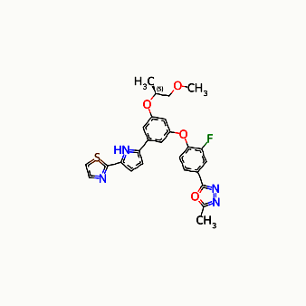 COC[C@H](C)Oc1cc(Oc2ccc(-c3nnc(C)o3)cc2F)cc(-c2ccc(-c3nccs3)[nH]2)c1